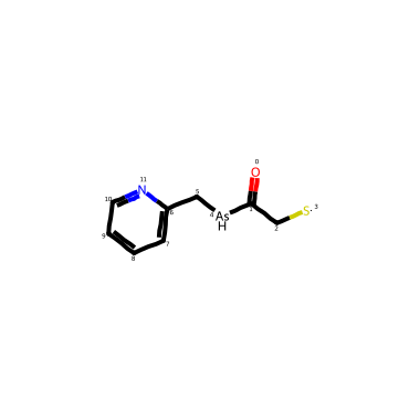 O=C(C[S])[AsH]Cc1ccccn1